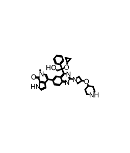 Cn1cc(-c2ccc3nc(N4CC(OC5CCNCC5)C4)nc(C(CO)(OC4CC4)c4ccccc4)c3c2)c2cc[nH]c2c1=O